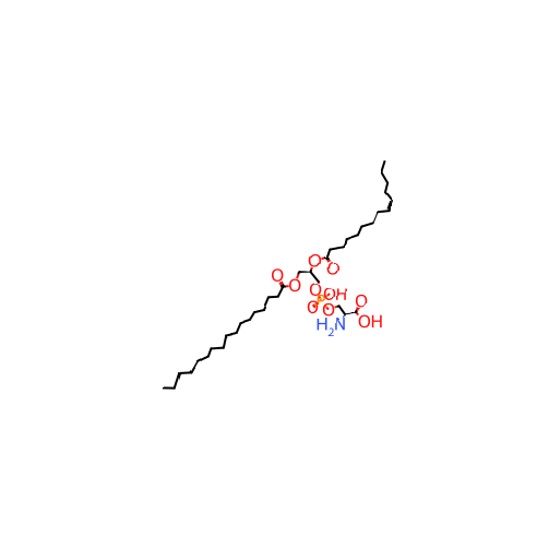 CCCC/C=C\CCCCCCCC(=O)O[C@H](COC(=O)CCCCCCCCCCCCCCCC)COP(=O)(O)OC[C@H](N)C(=O)O